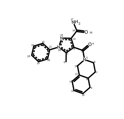 Cc1c(C(=O)N2CCC3CC=CC=C3C2)c(C(N)=O)nn1-c1ccccc1